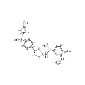 COc1cc([C@@H](C)NC2CC[C@@H](c3ccc(C(=O)N4CC(O)C4)cc3)C2)ccc1F